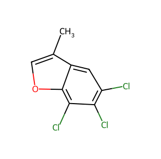 Cc1coc2c(Cl)c(Cl)c(Cl)cc12